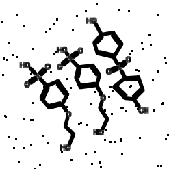 O=S(=O)(O)c1ccc(OCCO)cc1.O=S(=O)(O)c1ccc(OCCO)cc1.O=S(=O)(c1ccc(O)cc1)c1ccc(O)cc1